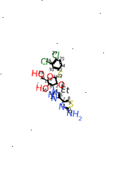 CCO[C@@H]1[C@@H](n2cc(-c3csc(N)n3)nn2)[C@@H](O)[C@@H](CO)O[C@@H]1Sc1ccc(Cl)c(Cl)c1